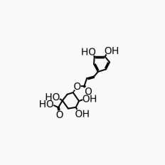 O=C(/C=C/c1ccc(O)c(O)c1)O[C@@H]1CC(O)(C(=O)O)CC(O)C1O